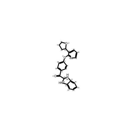 O=C(c1ccc(Oc2ncccc2C2CCCO2)cc1)C1Nc2ccccc2N1